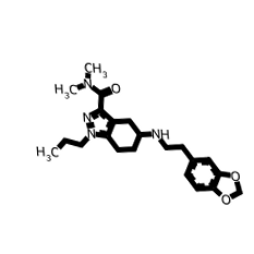 CCCn1nc(C(=O)N(C)C)c2c1CCC(NCCc1ccc3c(c1)OCO3)C2